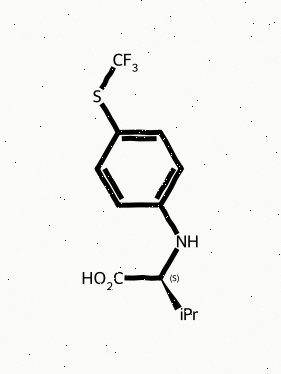 CC(C)[C@H](Nc1ccc(SC(F)(F)F)cc1)C(=O)O